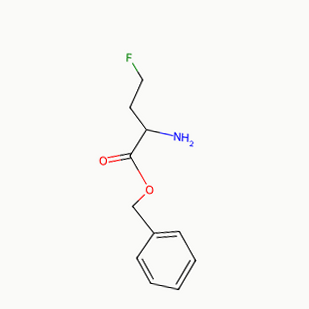 NC(CCF)C(=O)OCc1ccccc1